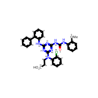 COc1ccccc1NC(=O)Nc1nc(Nc2ccccc2-c2ccccc2)nc(N(CCC(=O)O)c2ccccc2Cl)n1